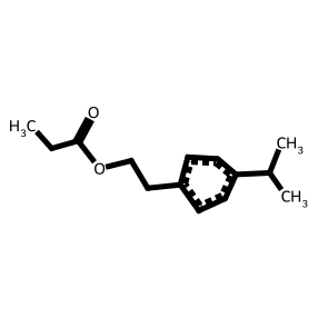 CCC(=O)OCCc1ccc(C(C)C)cc1